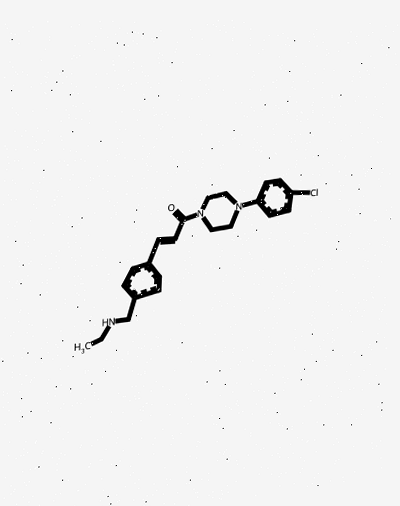 CCNCc1ccc(/C=C/C(=O)N2CCN(c3ccc(Cl)cc3)CC2)cc1